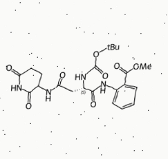 COC(=O)c1ccccc1NC(=O)[C@H](CC(=O)NC1CCC(=O)NC1=O)NC(=O)OC(C)(C)C